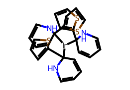 C1=CN[C](c2cccs2)([Ir]([C]2(c3cccs3)C=CC=CN2)[C]2(c3cccs3)C=CC=CN2)C=C1